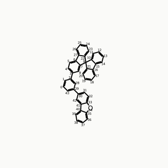 c1cc(-c2ccc3c(c2)C2(c4ccccc4-c4ccccc42)c2ccccc2-3)cc(-c2ccc3oc4ccccc4c3c2)c1